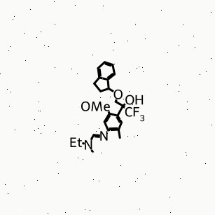 CCN(C)C=Nc1cc(OC)c(C(O)(COC2CCc3ccccc32)C(F)(F)F)cc1C